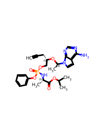 C#CC[C@@H](COP(=O)(N[C@@H](C)C(=O)OC(C)C)Oc1ccccc1)O[C@H](C)n1ccc2c(N)ncnc21